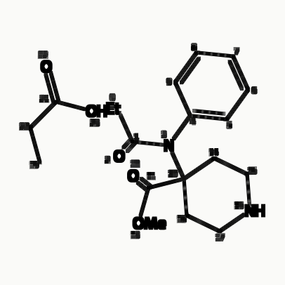 CCC(=O)N(c1ccccc1)C1(C(=O)OC)CCNCC1.CCC(=O)O